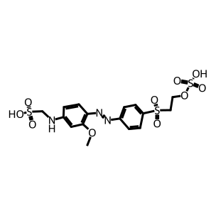 COc1cc(NCS(=O)(=O)O)ccc1/N=N/c1ccc(S(=O)(=O)CCOS(=O)(=O)O)cc1